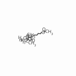 CC(=O)OCCCCCCSC1=C(O[SiH3])C(C)(C(C)(C)C)C(C)C1=O